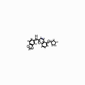 O=C(/C=C\c1ccccc1OC1CCCC1)Nc1ccc2c(c1)OCO2